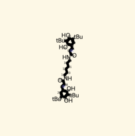 CC(C)(C)c1cc(/C=C/C(=O)NCCCCCCNC(=O)/C=C/c2cc(C(C)(C)C)c(O)c(C(C)(C)C)c2O)c(O)c(C(C)(C)C)c1O